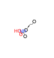 O=C(NO)C(c1ccccc1)c1ccc(C#CCCc2ccccc2)cc1